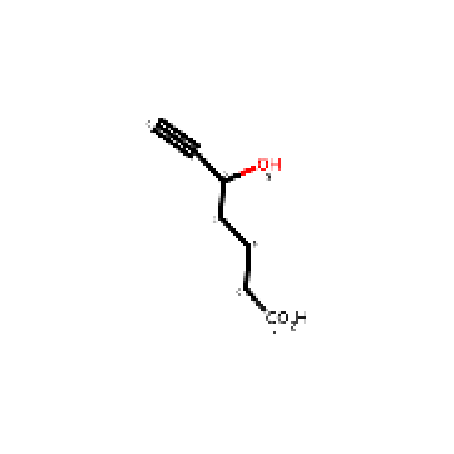 C#CC(O)CCCC(=O)O